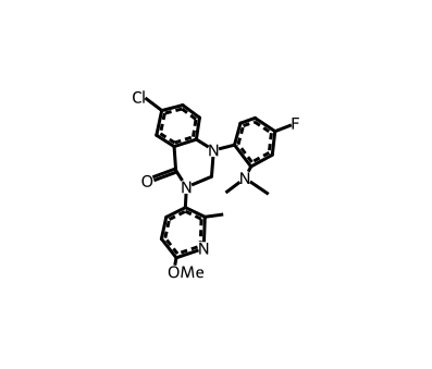 COc1ccc(N2CN(c3ccc(F)cc3N(C)C)c3ccc(Cl)cc3C2=O)c(C)n1